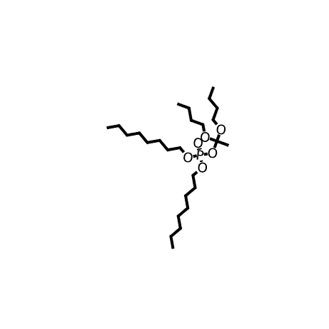 CCCCCCCCOP(=O)(OCCCCCCCC)OC(C)(OCCCC)OCCCC